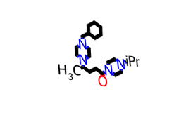 CC(C)N1CCN(C(=O)CCC(C)N2CCN(CC3CCCCC3)CC2)CC1